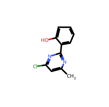 Cc1cc(Cl)nc(-c2ccccc2O)n1